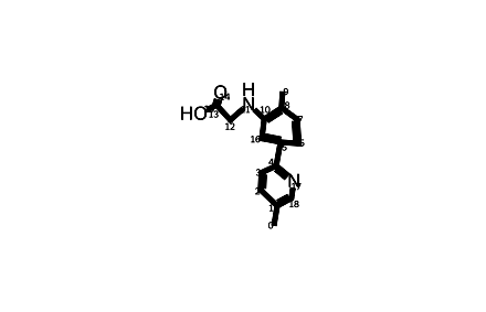 Cc1ccc(-c2ccc(C)c(NCC(=O)O)c2)nc1